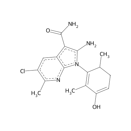 CC1=C(n2c(N)c(C(N)=O)c3cc(Cl)c(C)nc32)C(C)CC=C1O